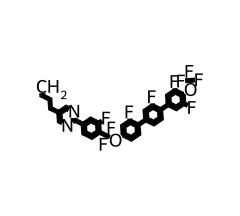 C=CCCc1cnc(-c2ccc(C(F)(F)Oc3ccc(-c4ccc(-c5cc(F)c(OC(F)(F)F)c(F)c5)c(F)c4)c(F)c3)c(F)c2)nc1